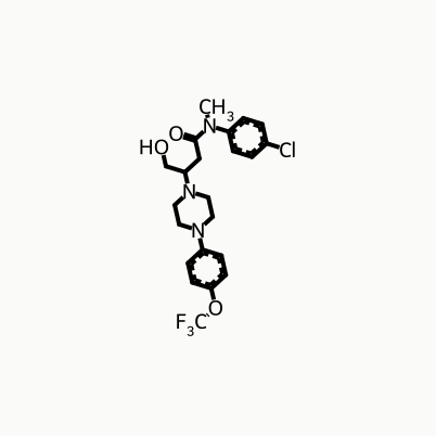 CN(C(=O)CC(CO)N1CCN(c2ccc(OC(F)(F)F)cc2)CC1)c1ccc(Cl)cc1